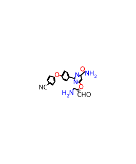 N#Cc1ccc(Oc2ccc(-c3nc(O[C@H](C=O)CN)cc(C(N)=O)n3)cc2)cc1